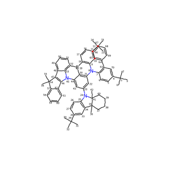 CC(C)(C)c1ccc(N2c3cc(C(C)(C)C)ccc3B3c4c2cc(N2c5ccc(C(C)(C)C)cc5C5(C)CCCCC25C)cc4-n2c4c(c5cccc3c52)C(C)(C)c2ccccc2-4)c(-c2ccccc2)c1